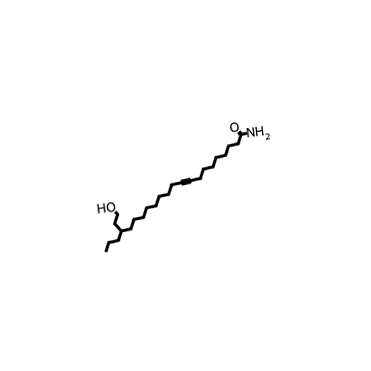 CCCC(CCO)CCCCCCCCC#CCCCCCCCC(N)=O